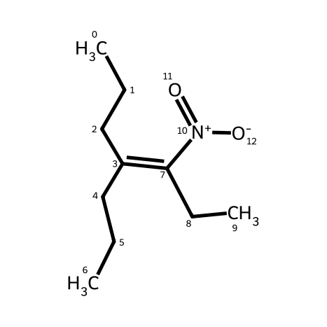 CCCC(CCC)=C(CC)[N+](=O)[O-]